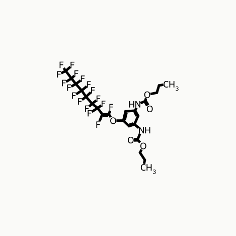 CCCOC(=O)Nc1cc(NC(=O)OCCC)cc(OC(F)=C(F)C(F)(F)C(F)(F)C(F)(F)C(F)(F)C(F)(F)C(F)(F)C(F)(F)F)c1